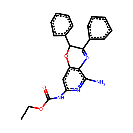 CCOC(=O)Nc1cc2c(c(N)n1)N=C(c1ccccc1)C(c1ccccc1)O2